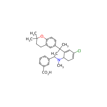 CN(Cc1cccc(C(=O)O)c1)C1CC=C(Cl)C=C1C(C)(C)c1ccc2c(c1)CCC(C)(C)O2